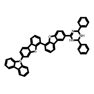 c1ccc(C2N=C(c3ccc4oc5c(-c6cccc7c6sc6cc(-n8c9ccccc9c9ccccc98)ccc67)cccc5c4c3)NC(c3ccccc3)N2)cc1